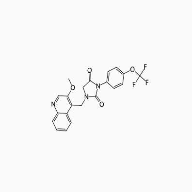 COc1cnc2ccccc2c1CN1CC(=O)N(c2ccc(OC(F)(F)F)cc2)C1=O